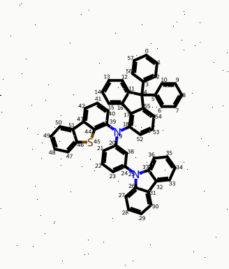 c1ccc(C2(c3ccccc3)c3ccccc3-c3c(N(c4cccc(-n5c6ccccc6c6ccccc65)c4)c4cccc5c4sc4ccccc45)cccc32)cc1